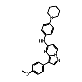 COc1ccc(-c2cnn3ccc(Nc4ccc(N5CCCCC5)cc4)nc23)cc1